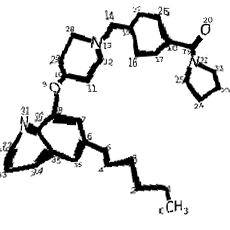 CCCCCCc1cc(OC2CCN(CC3CCC(C(=O)N4CCCC4)CC3)CC2)c2ncccc2c1